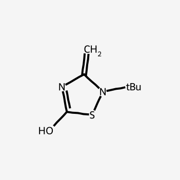 C=C1N=C(O)SN1C(C)(C)C